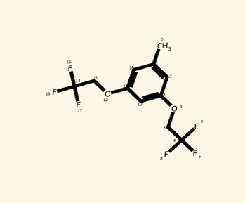 Cc1cc(OCC(F)(F)F)cc(OCC(F)(F)F)c1